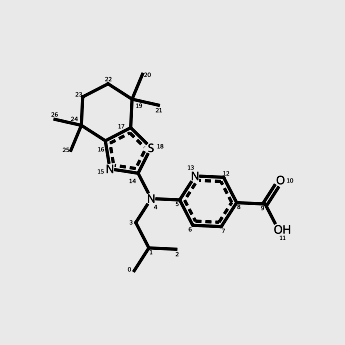 CC(C)CN(c1ccc(C(=O)O)cn1)c1nc2c(s1)C(C)(C)CCC2(C)C